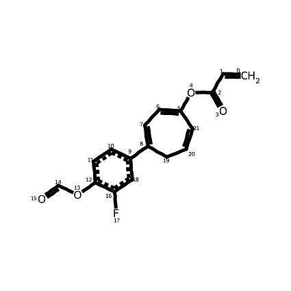 C=CC(=O)OC1=CC=C(c2ccc(OC=O)c(F)c2)CC=C1